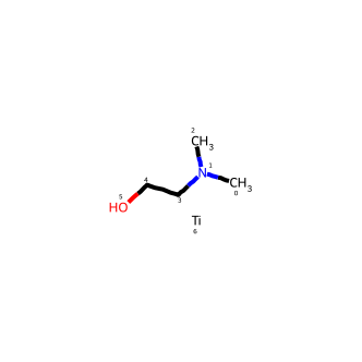 CN(C)CCO.[Ti]